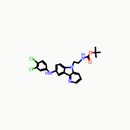 CC(C)(C)OC(=O)NCCn1c2ccc(Nc3ccc(Cl)c(Cl)c3)cc2c2ncccc21